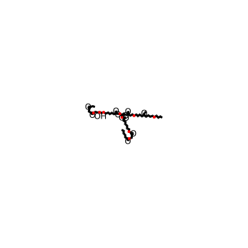 CCCCCCCCCC(CCCCCCCC(=O)OCC(COC(=O)CCCCCCCCC(O)CC1OC1CC1OC1CC)OC(=O)CCCCCCCC1OC1CC1OC1CCCCC)OC